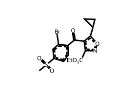 CCOC(=O)c1noc(C2CC2)c1C(=O)c1ccc(S(C)(=O)=O)cc1Br